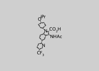 CC(=O)Nc1c(C(=O)O)n(-c2ccc(OC(C)C)cc2)c2ccc(-c3ccc(C(F)(F)F)cn3)cc12